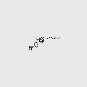 CCCCCCC[Si@H]1CC[C@H](c2ccc(C#N)cc2)CC1